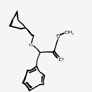 COC(=O)C(OCC1CC1)c1ccccc1